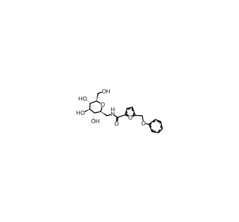 O=C(NC[C@@H]1O[C@H](CO)[C@@H](O)[C@H](O)[C@H]1O)c1ccc(COc2ccccc2)o1